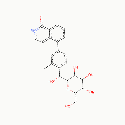 Cc1cc(-c2cccc3c(=O)[nH]ccc23)ccc1[C@@H](O)[C@H]1OC(CO)[C@@H](O)C(O)C1O